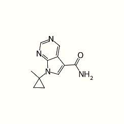 CC1(n2cc(C(N)=O)c3cncnc32)CC1